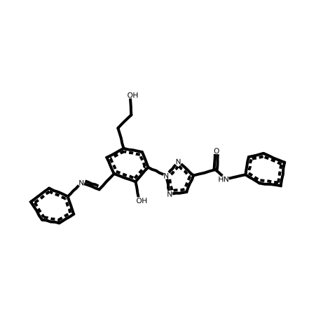 O=C(Nc1ccccc1)c1cnn(-c2cc(CCO)cc(C=Nc3ccccc3)c2O)n1